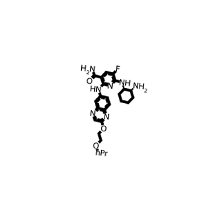 CCCOCCOc1cnc2cc(Nc3nc(N[C@@H]4CCCC[C@@H]4N)c(F)cc3C(N)=O)ccc2n1